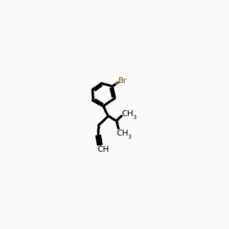 C#CCC(c1cccc(Br)c1)C(C)C